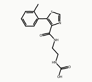 Cc1ccccc1-c1scnc1C(=O)NCCNC(=O)O